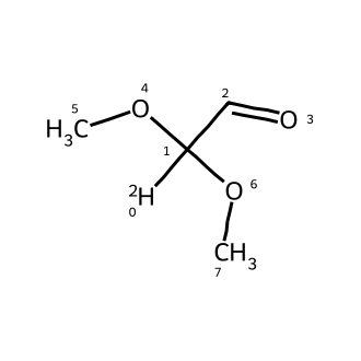 [2H]C(C=O)(OC)OC